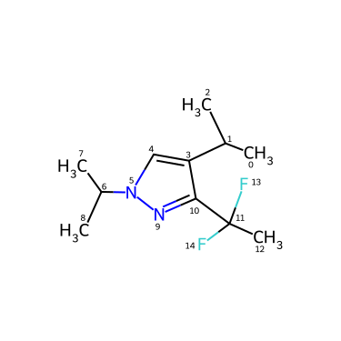 CC(C)c1cn(C(C)C)nc1C(C)(F)F